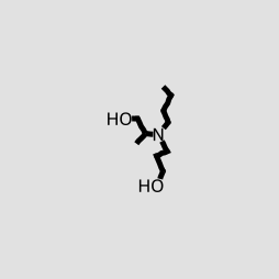 CCCCN(CCCO)C(C)CO